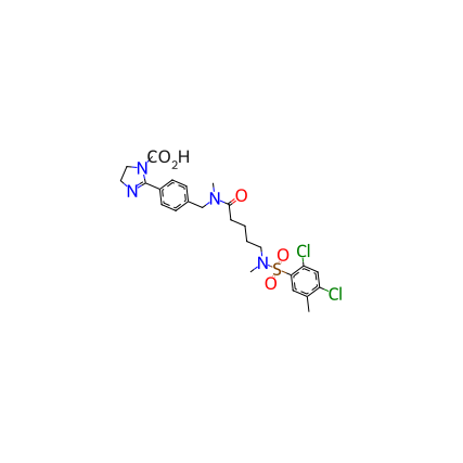 Cc1cc(S(=O)(=O)N(C)CCCCC(=O)N(C)Cc2ccc(C3=NCCN3C(=O)O)cc2)c(Cl)cc1Cl